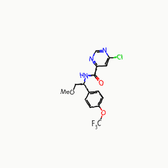 COCC(NC(=O)c1cc(Cl)ncn1)c1ccc(OC(F)(F)F)cc1